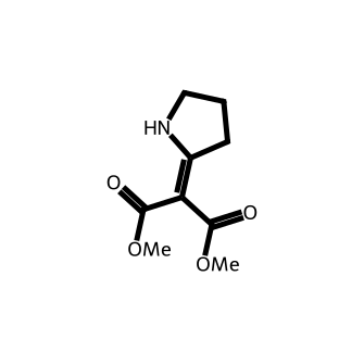 COC(=O)C(C(=O)OC)=C1CCCN1